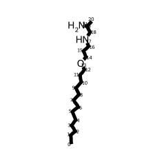 CCCCCCCCCCCCCOCCCNCC(C)N